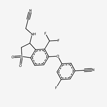 N#CCNC1CS(=O)(=O)c2ccc(Oc3cc(F)cc(C#N)c3)c(C(F)F)c21